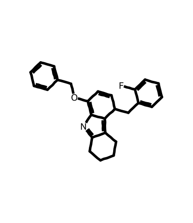 Fc1ccccc1CC1C=CC(OCc2ccccc2)=C2N=C3CCCCC3=C21